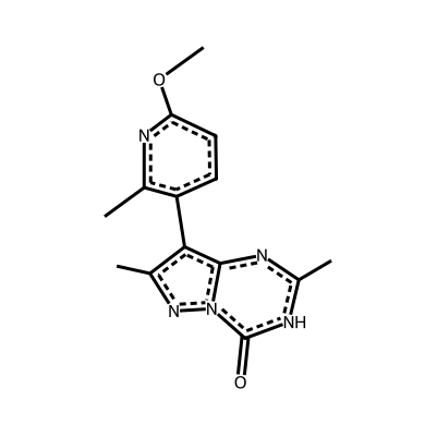 COc1ccc(-c2c(C)nn3c(=O)[nH]c(C)nc23)c(C)n1